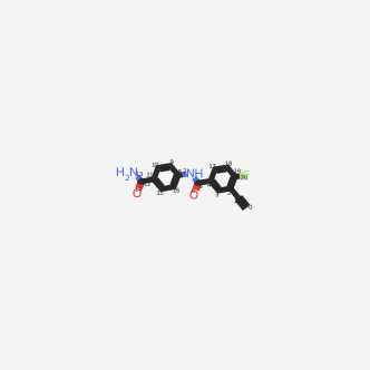 C#Cc1cc(C(=O)Nc2ccc(C(N)=O)cc2)ccc1F